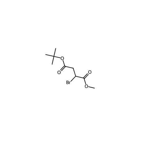 COC(=O)C(Br)CC(=O)OC(C)(C)C